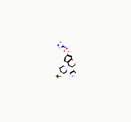 Cn1nccc1[C@@H]1C[C@H](OC(F)(F)F)CCN1[C@H]1CCOc2cc(S(=O)(=O)Nc3ncns3)ccc21